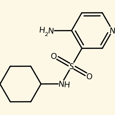 Nc1ccncc1S(=O)(=O)NC1CCCCC1